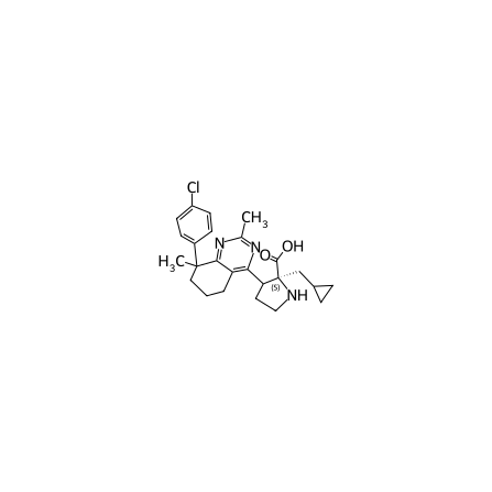 Cc1nc(C2CCN[C@]2(CC2CC2)C(=O)O)c2c(n1)C(C)(c1ccc(Cl)cc1)CCC2